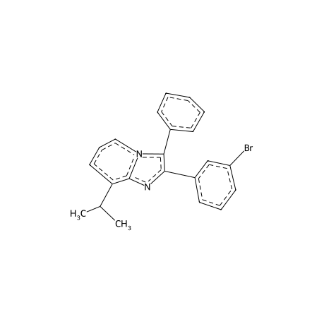 CC(C)c1cccn2c(-c3ccccc3)c(-c3cccc(Br)c3)nc12